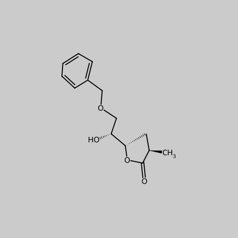 C[C@@H]1C[C@@H]([C@H](O)COCc2ccccc2)OC1=O